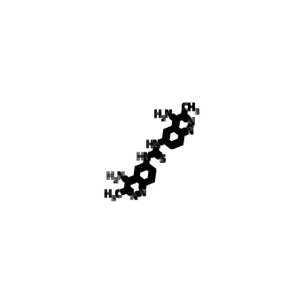 Cc1nnc2ccc(NC(=S)Nc3ccc4nnc(C)c(N)c4c3)cc2c1N